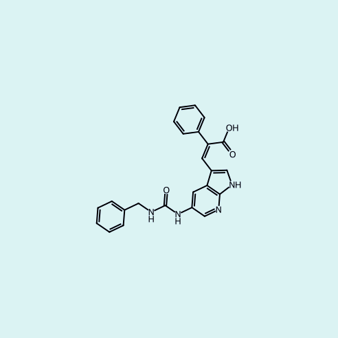 O=C(NCc1ccccc1)Nc1cnc2[nH]cc(C=C(C(=O)O)c3ccccc3)c2c1